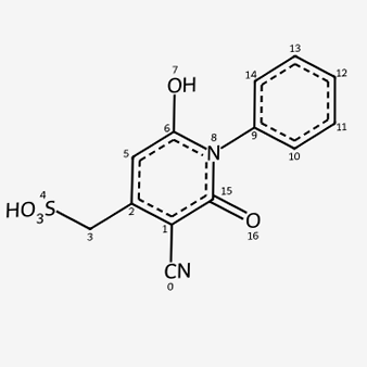 N#Cc1c(CS(=O)(=O)O)cc(O)n(-c2ccccc2)c1=O